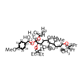 CC[Si](CC)(CC)O[C@H]([C@H](C)C[C@H](OC)[C@@H]([C@H](C[C@@H](C)CO[Si](C(C)C)(C(C)C)C(C)C)OC)C(C)(C)C)[C@](OCc1ccc(OC)cc1)(O[SiH](C)C)C(=O)O